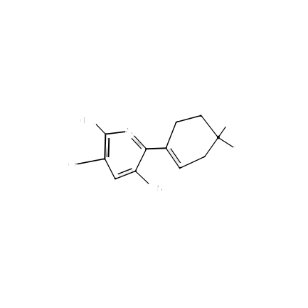 CC(C)(C)c1nc(C2=CCC(F)(F)CC2)c(C#N)cc1Cl